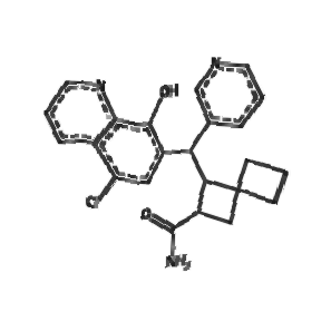 NC(=O)C1CC2(CCC2)C1C(c1cccnc1)c1cc(Cl)c2cccnc2c1O